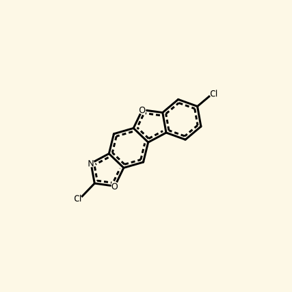 Clc1ccc2c(c1)oc1cc3nc(Cl)oc3cc12